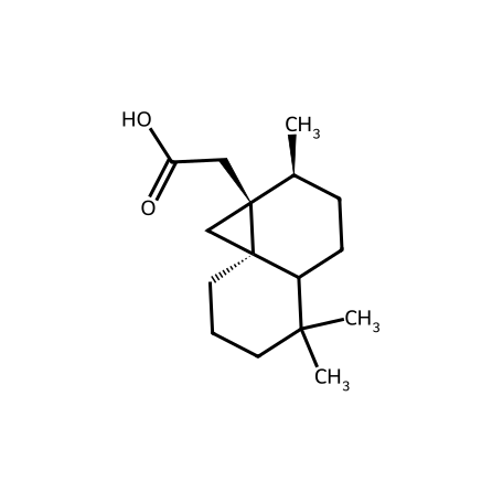 C[C@H]1CCC2C(C)(C)CCC[C@@]23C[C@]13CC(=O)O